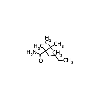 CCCCC(C)(C(N)=O)C(C)(C)C